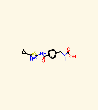 O=C(O)NCc1ccc(C(=O)Nc2nnc(C3CC3)s2)cc1